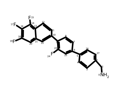 NCc1ccc(-c2ccc(-c3ccc4c(F)c(F)c(F)cc4c3)c(F)c2)cc1